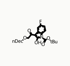 CCCCCCCCCCOCC(=O)c1c(O)n(C(=O)OC(C)(C)C)c2ccc(F)cc12